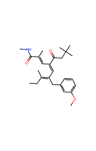 CC/C(C)=C(/C=C(\C=C(/C)C(=O)NC)C(=O)CC(C)(C)C)Cc1cccc(OC)c1